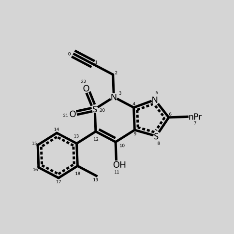 C#CCN1c2nc(CCC)sc2C(O)=C(c2ccccc2C)S1(=O)=O